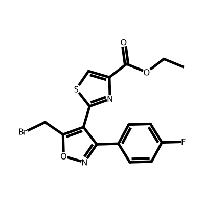 CCOC(=O)c1csc(-c2c(-c3ccc(F)cc3)noc2CBr)n1